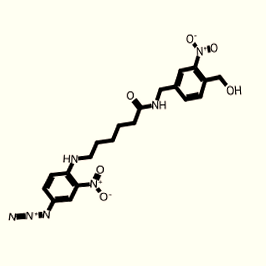 [N-]=[N+]=Nc1ccc(NCCCCCC(=O)NCc2ccc(CO)c([N+](=O)[O-])c2)c([N+](=O)[O-])c1